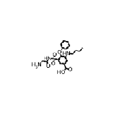 CCCCNc1cc(C(=O)O)cc(S(=O)(=O)NC(=O)CN)c1Oc1ccccc1